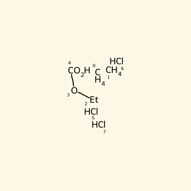 C.C.CCOC(=O)O.Cl.Cl.Cl